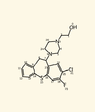 OCCN1CCN(C2Cc3ccccc3Sc3cc(F)c(Cl)cc32)CC1